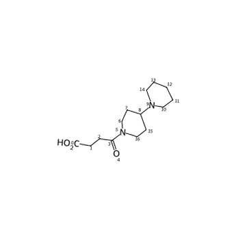 O=C(O)CCC(=O)N1CCC(N2CCCCC2)CC1